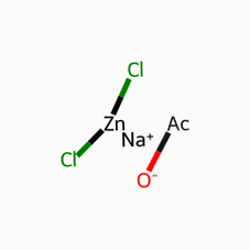 CC(=O)[O-].[Cl][Zn][Cl].[Na+]